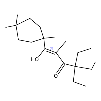 CCC(CC)(CC)C(=O)/C(C)=C(\O)C1(C)CCC(C)(C)CC1